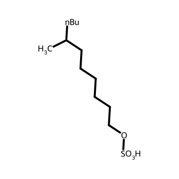 CCCCC(C)CCCCCCOS(=O)(=O)O